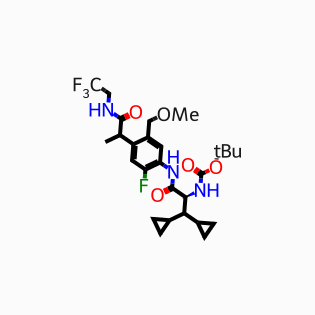 COCc1cc(NC(=O)[C@@H](NC(=O)OC(C)(C)C)C(C2CC2)C2CC2)c(F)cc1C(C)C(=O)NCC(F)(F)F